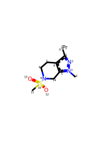 CC(C)c1nn(C)c2c1CCN(S(C)(=O)=O)C2